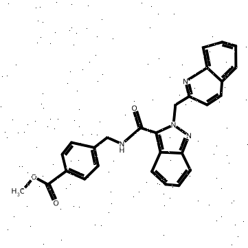 COC(=O)c1ccc(CNC(=O)c2c3ccccc3nn2Cc2ccc3ccccc3n2)cc1